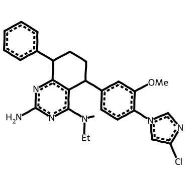 CCN(C)c1nc(N)nc2c1C(c1ccc(-n3cnc(Cl)c3)c(OC)c1)CCC2c1ccccc1